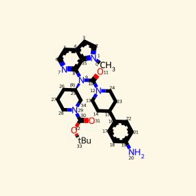 Cn1ccc2ccnc(N(C(=O)N3CCC(c4ccc(N)cc4)CC3)[C@@H]3CCCN(C(=O)OC(C)(C)C)C3)c21